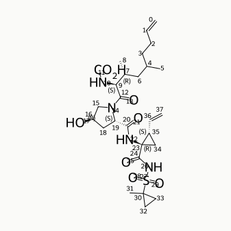 C=CCCC(C)C[C@@H](C)[C@H](NC(=O)O)C(=O)N1C[C@H](O)C[C@H]1C(=O)N[C@]1(C(=O)NS(=O)(=O)C2(C)CC2)C[C@H]1C=C